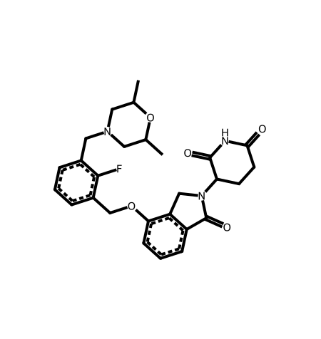 CC1CN(Cc2cccc(COc3cccc4c3CN(C3CCC(=O)NC3=O)C4=O)c2F)CC(C)O1